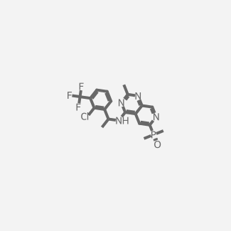 Cc1nc(NC(C)c2cccc(C(F)(F)F)c2Cl)c2cc(P(C)(C)=O)ncc2n1